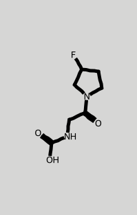 O=C(O)NCC(=O)N1CCC(F)C1